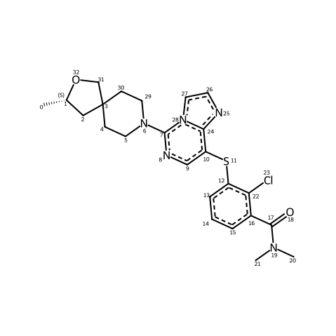 C[C@H]1CC2(CCN(c3ncc(Sc4cccc(C(=O)N(C)C)c4Cl)c4nccn34)CC2)CO1